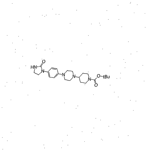 CC(C)(C)OC(=O)N1CCC(N2CCN(c3ccc(N4CCNC4=O)cc3)CC2)CC1